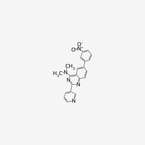 CN(C)c1nc(-c2cccnc2)nc2ccc(-c3cccc([N+](=O)[O-])c3)cc12